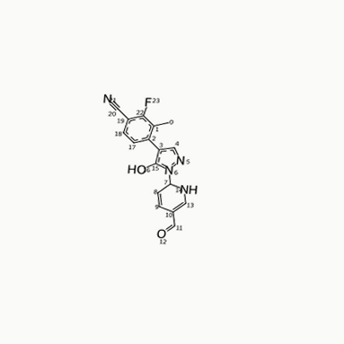 Cc1c(-c2cnn(C3C=CC(C=O)=CN3)c2O)ccc(C#N)c1F